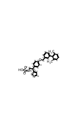 Cc1cccc(C)c1-c1cccc(COc2ccc(C(CNS(=O)(=O)O)c3ccno3)cc2)c1